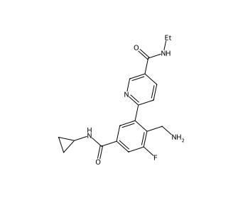 CCNC(=O)c1ccc(-c2cc(C(=O)NC3CC3)cc(F)c2CN)nc1